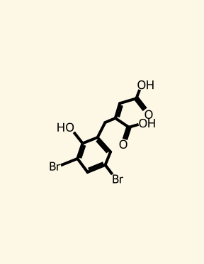 O=C(O)C=C(Cc1cc(Br)cc(Br)c1O)C(=O)O